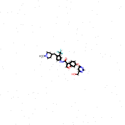 CN1CCC(Cc2ccc(NC(=O)c3coc4cc(Oc5cc(CO)ncn5)ccc34)cc2C(F)(F)F)CC1